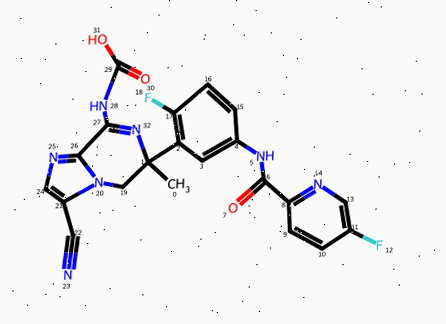 CC1(c2cc(NC(=O)c3ccc(F)cn3)ccc2F)Cn2c(C#N)cnc2C(NC(=O)O)=N1